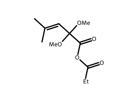 CCC(=O)OC(=O)C(C=C(C)C)(OC)OC